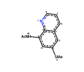 CSc1[c]c2cccnc2c(NC(C)=O)c1